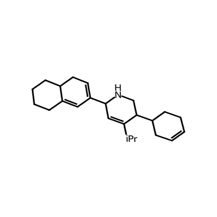 CC(C)C1=CC(C2=CCC3CCCCC3=C2)NCC1C1CC=CCC1